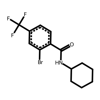 O=C(NC1CCCCC1)c1ccc(C(F)(F)F)cc1Br